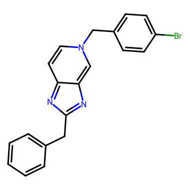 Brc1ccc(Cn2ccc3nc(Cc4ccccc4)nc-3c2)cc1